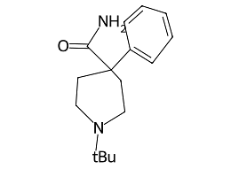 CC(C)(C)N1CCC(C(N)=O)(c2ccccc2)CC1